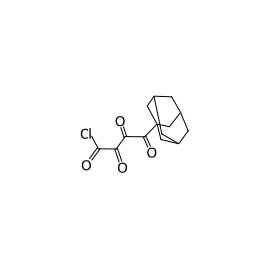 O=C(Cl)C(=O)C(=O)C(=O)C12CC3CC(CC(C3)C1)C2